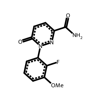 COc1cccc(-n2nc(C(N)=O)ccc2=O)c1F